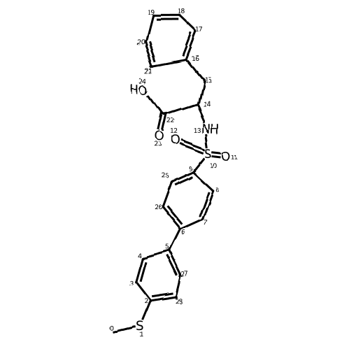 CSc1ccc(-c2ccc(S(=O)(=O)NC(Cc3ccccc3)C(=O)O)cc2)cc1